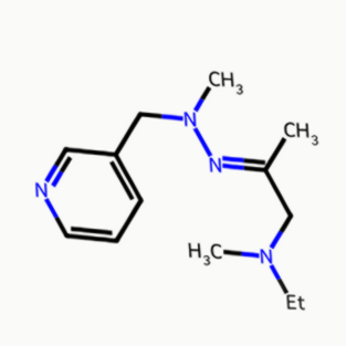 CCN(C)C/C(C)=N/N(C)Cc1cccnc1